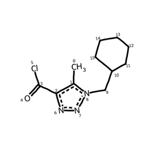 Cc1c(C(=O)Cl)nnn1CC1CCCCC1